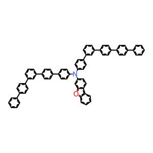 c1ccc(-c2ccc(-c3ccc(-c4cccc(-c5ccc(N(c6ccc(-c7ccc(-c8cccc(-c9ccc(-c%10ccccc%10)cc9)c8)cc7)cc6)c6ccc7c(c6)oc6ccccc67)cc5)c4)cc3)cc2)cc1